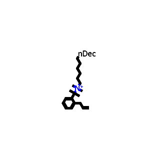 C=CCc1ccccc1C(C)(C)[N+](C)(C)CCCCCCCCCCCCCCCC